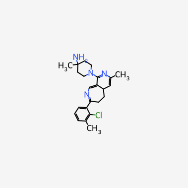 CC1=CC2CCC(c3cccc(C)c3Cl)=NC=C2C(N2CCC(C)(N)CC2)=N1